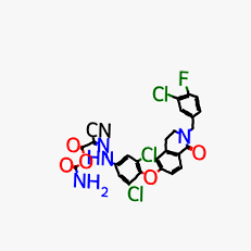 N#CC(=NNc1cc(Cl)c(Oc2ccc3c(c2)CCN(Cc2ccc(F)c(Cl)c2)C3=O)c(Cl)c1)C(=O)OC(N)=O